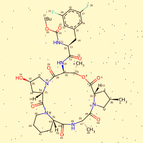 C[C@@H]1C[C@H]2C(=O)O[C@@H](C)[C@H](NC(=O)[C@H](Cc3cc(F)cc(F)c3)NC(=O)OC(C)(C)C)C(=O)N3C[C@H](O)C[C@H]3C(=O)N3CCCC[C@H]3C(=O)N[C@@H](C)C(=O)N2C1